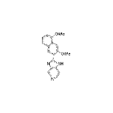 COc1cc2c(OC)cccc2cc1-c1nc2cnccc2[nH]1